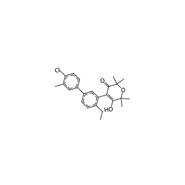 CCc1ccc(-c2ccc(Cl)c(C)c2)cc1C1=C(O)C(C)(C)OC(C)(C)C1=O